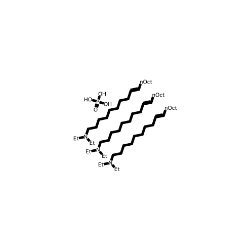 CCCCCCCCC=CCCCCCCCCN(CC)CC.CCCCCCCCC=CCCCCCCCCN(CC)CC.CCCCCCCCC=CCCCCCCCCN(CC)CC.O=P(O)(O)O